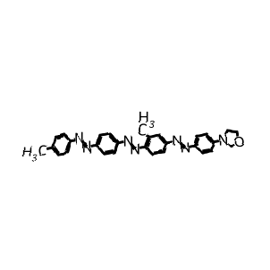 Cc1ccc(N=Nc2ccc(N=Nc3ccc(N=Nc4ccc(N5CCOC5)cc4)cc3C)cc2)cc1